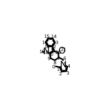 Cc1cccn1CC1CCc2c(c3ccccc3n2C)C1=O